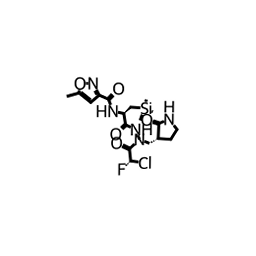 Cc1cc(C(=O)N[C@@H](C[Si](C)(C)C)C(=O)NN(C[C@H]2CCNC2=O)C(=O)[C@@H](F)Cl)no1